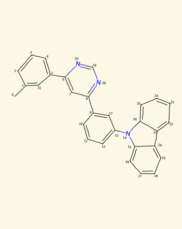 Cc1cccc(-c2cc(-c3cccc(-n4c5ccccc5c5ccccc54)c3)ncn2)c1